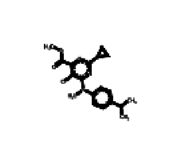 COC(=O)c1nc(C2CC2)nc(N(C)c2ccc(C(C)C)cc2)c1Cl